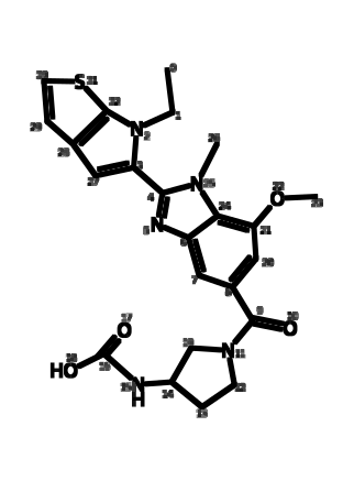 CCn1c(-c2nc3cc(C(=O)N4CCC(NC(=O)O)C4)cc(OC)c3n2C)cc2ccsc21